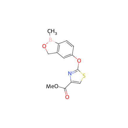 COC(=O)c1csc(Oc2ccc3c(c2)COB3C)n1